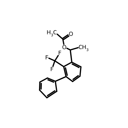 CC(=O)OC(C)c1cccc(-c2ccccc2)c1C(F)(F)F